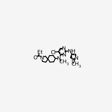 CCC(=O)N1CCC2(CCC(N(C)c3nc(Nc4cnn(C)c4)ncc3Cl)CC2)C1